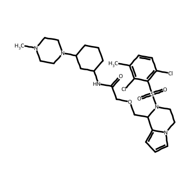 Cc1ccc(Cl)c(S(=O)(=O)N2CCn3cccc3C2COCC(=O)NC2CCCC(N3CCN(C)CC3)C2)c1Cl